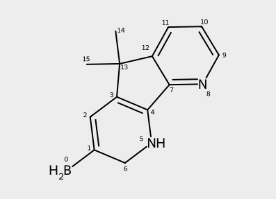 BC1=CC2=C(NC1)c1ncccc1C2(C)C